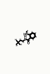 CNc1ccccc1C(=O)NCCC(C)(C)C